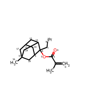 C=C(C)C(=O)OC1(CC(C)C)C2CC3CC1CC(C)(C3)C2